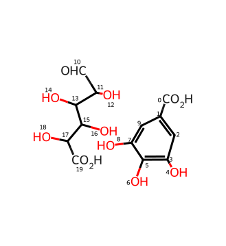 O=C(O)c1cc(O)c(O)c(O)c1.O=CC(O)C(O)C(O)C(O)C(=O)O